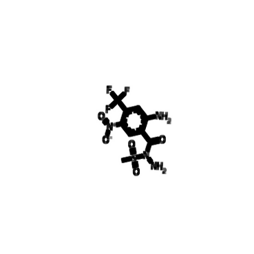 CS(=O)(=O)N(N)C(=O)c1cc([N+](=O)[O-])c(C(F)(F)F)cc1N